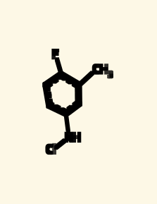 Cc1cc(NCl)ccc1F